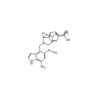 CCOC1CCN(Cc2c(OC)cc(C)c3[nH]ccc23)C2(c3ccc(C(=O)O)cc3)CC12